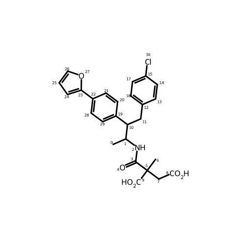 CC(NC(=O)C(C)(CC(=O)O)C(=O)O)C(Cc1ccc(Cl)cc1)c1ccc(-c2ccco2)cc1